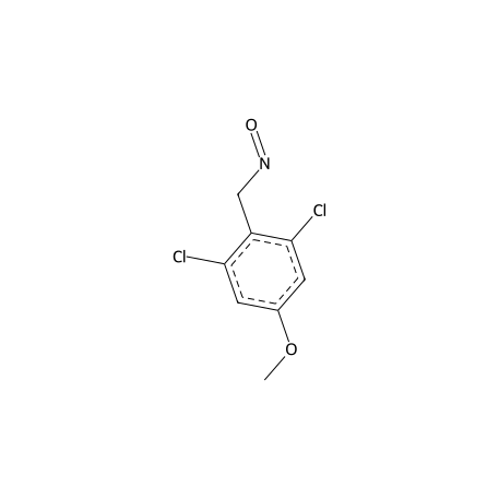 COc1cc(Cl)c(CN=O)c(Cl)c1